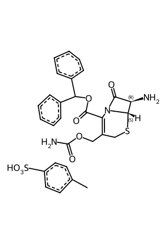 Cc1ccc(S(=O)(=O)O)cc1.NC(=O)OCC1=C(C(=O)OC(c2ccccc2)c2ccccc2)N2C(=O)[C@@H](N)[C@@H]2SC1